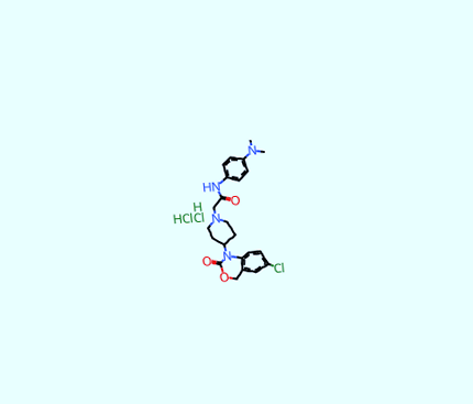 CN(C)c1ccc(NC(=O)CN2CCC(N3C(=O)OCc4cc(Cl)ccc43)CC2)cc1.Cl.Cl